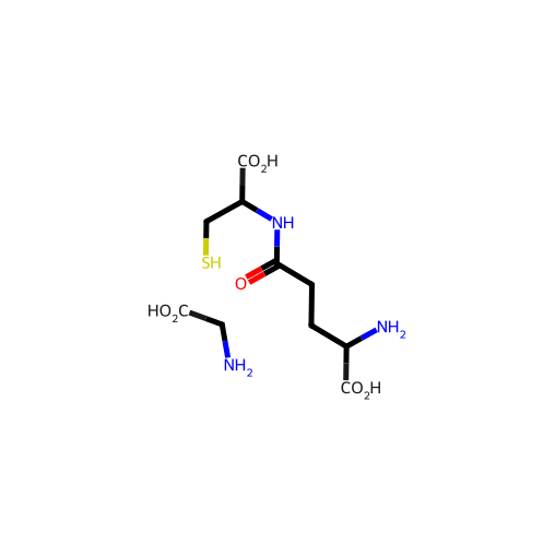 NC(CCC(=O)NC(CS)C(=O)O)C(=O)O.NCC(=O)O